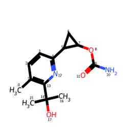 Cc1ccc(C2CC2OC(N)=O)nc1C(C)(C)O